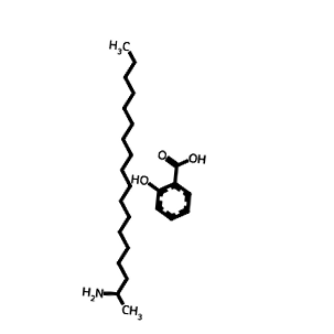 CCCCCCCCCCCCCCCCC(C)N.O=C(O)c1ccccc1O